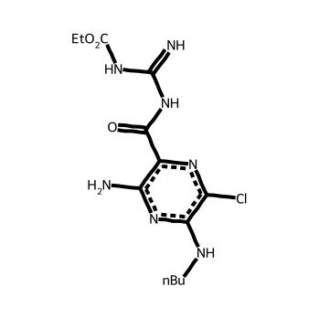 CCCCNc1nc(N)c(C(=O)NC(=N)NC(=O)OCC)nc1Cl